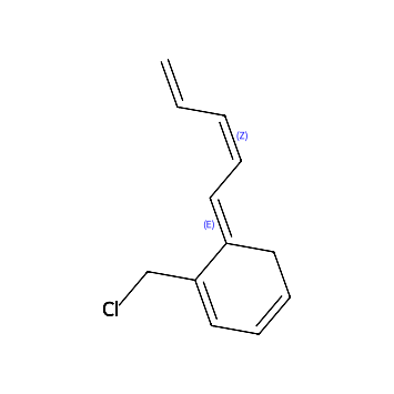 C=C/C=C\C=C1/CC=CC=C1CCl